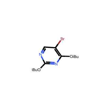 CC(C)COc1ncc(Br)c(OCC(C)C)n1